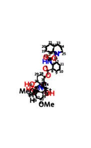 CCC1CC[C@]2(OC(=O)c3ccccc3NS(=O)(=O)c3cccc4cccnc34)CC[C@H](O)C34C2CC(N13)[C@@]1(O)C[C@H](OC)[C@H]2CC4[C@]1(O)[C@H]2OC